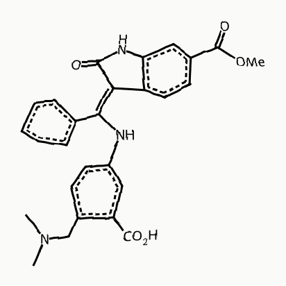 COC(=O)c1ccc2c(c1)NC(=O)/C2=C(/Nc1ccc(CN(C)C)c(C(=O)O)c1)c1ccccc1